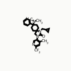 Cc1cc(C(F)(F)F)ncc1N1CC2(CCC(c3ccccc3)(N(C)C)CC2)N(CC2CC2)C1=O